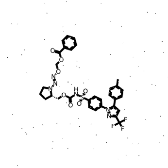 Cc1ccc(-c2cc(C(F)(F)F)nn2-c2ccc(S(=O)(=O)NC(=O)OC[C@@H]3CCCN3N=NOCOC(=O)c3ccccc3)cc2)cc1